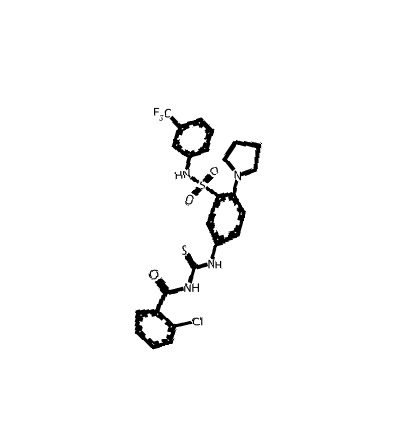 O=C(NC(=S)Nc1ccc(N2CCCC2)c(S(=O)(=O)Nc2cccc(C(F)(F)F)c2)c1)c1ccccc1Cl